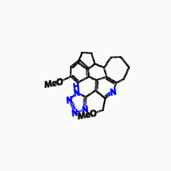 COCc1nc2c(c(-c3cccc(OC)c3)c1-c1nnn[nH]1)C(C1CCCC1)CCCC2